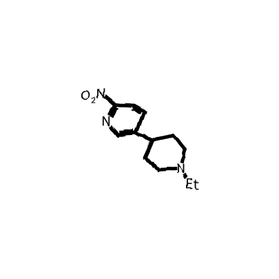 CCN1CCC(c2ccc([N+](=O)[O-])nc2)CC1